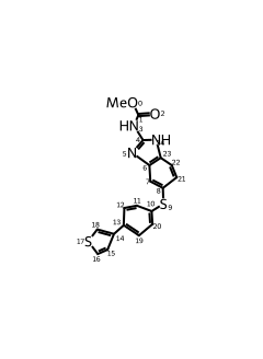 COC(=O)Nc1nc2cc(Sc3ccc(-c4ccsc4)cc3)ccc2[nH]1